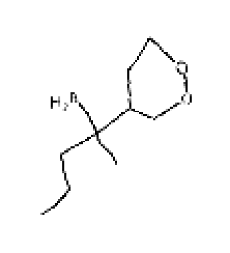 BC(C)(CCC)C1CCOOC1